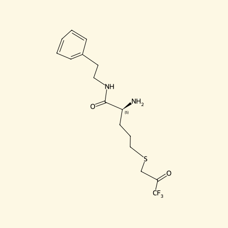 N[C@@H](CCCSCC(=O)C(F)(F)F)C(=O)NCCc1ccccc1